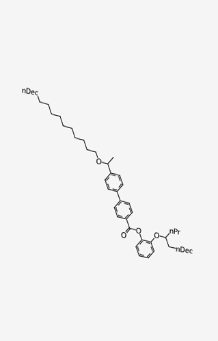 CCCCCCCCCCCCCCCCCCCCOC(C)c1ccc(-c2ccc(C(=O)Oc3ccccc3OC(CCC)CCCCCCCCCCC)cc2)cc1